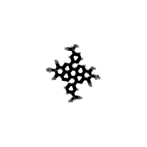 CN1C(=O)c2ccc3c4c(-c5cccc([N+](=O)[O-])c5)cc5c6c(ccc(c7c(-c8cccc([N+](=O)[O-])c8)cc(c2c37)C1=O)c64)C(=O)N(C)C5=O